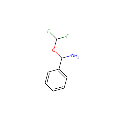 NC(OC(F)F)c1cc[c]cc1